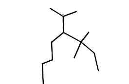 CCCCC([C](C)C)C(C)(C)CC